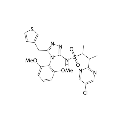 COc1cccc(OC)c1-n1c(Cc2ccsc2)nnc1NS(=O)(=O)C(C)C(C)c1ncc(Cl)cn1